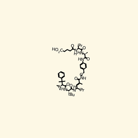 C/C(=C\C(NC(=O)[C@@H](NC(=O)C(N(C)C)C(C)(C)c1ccccc1)C(C)(C)C)C(C)C)C(=O)NOCc1ccc(NC(=O)[C@H](C)NC(=O)C(NC(=O)CCCC(=O)O)C(C)C)cc1